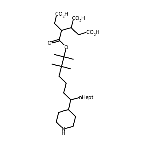 CCCCCCCC(CCCC(C)(C)C(C)(C)OC(=O)C(CC(=O)O)C(CC(=O)O)C(=O)O)C1CCNCC1